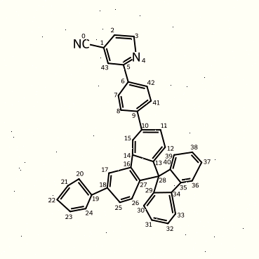 N#Cc1ccnc(-c2ccc(-c3ccc4c(c3)-c3cc(-c5ccccc5)ccc3C43c4ccccc4-c4ccccc43)cc2)c1